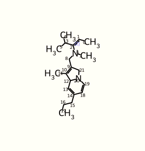 C/C=C(/C(C)C)N(C)CC1=C(C)C2C=C(CCC)C=CN2C1